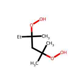 CCC(C)(CC(C)(C)OO)OO